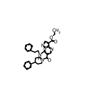 CCOC(=O)c1cnn2c(NCCc3ccccc3)c(C(=O)N3CCC(c4ccccc4)CC3)cnc12